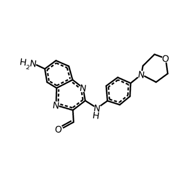 Nc1ccc2nc(Nc3ccc(N4CCOCC4)cc3)c(C=O)nc2c1